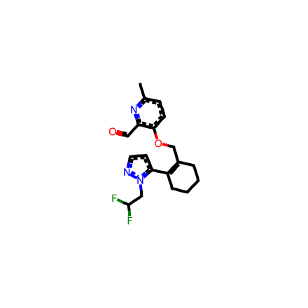 Cc1ccc(OCC2=C(c3ccnn3CC(F)F)CCCC2)c(C=O)n1